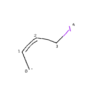 [CH2]/C=C\CI